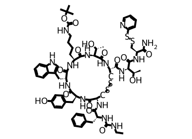 CCNC(=O)N[C@H](Cc1ccccc1)C(=O)N[C@H]1CSSC[C@@H](C(=O)N[C@H](C(=O)N[C@@H](CSSc2ccccn2)C(N)=O)[C@@H](C)O)NC(=O)[C@H]([C@@H](C)O)NC(=O)[C@H](CCCCNC(=O)OC(C)(C)C)NC(=O)[C@@H](Cc2c[nH]c3ccccc23)NC(=O)[C@H](Cc2ccc(O)cc2)NC1=O